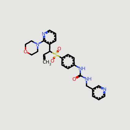 C=CC(c1cccnc1N1CCOCC1)S(=O)(=O)c1ccc(NC(=O)NCc2cccnc2)cc1